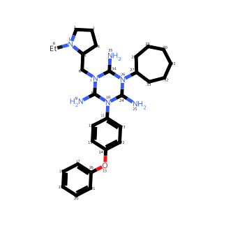 CCN1CCCC1CN1C(N)N(c2ccc(Oc3ccccc3)cc2)C(N)N(C2CCCCCC2)C1N